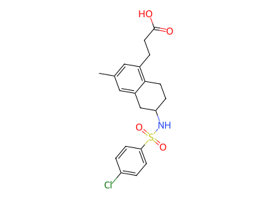 Cc1cc(CCC(=O)O)c2c(c1)CC(NS(=O)(=O)c1ccc(Cl)cc1)CC2